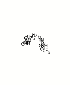 Cn1c(=O)n(C2CCC(=O)NC2=O)c2cccc(C#CCN3CCC(C[C@H]4CC[C@H](n5cc6cc(NC(=O)c7cccc(C(F)(F)F)n7)ncc6n5)CC4)CC3)c21